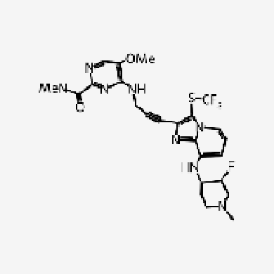 CNC(=O)c1ncc(OC)c(NCC#Cc2nc3c(N[C@@H]4CCN(C)C[C@@H]4F)cccn3c2SC(F)(F)F)n1